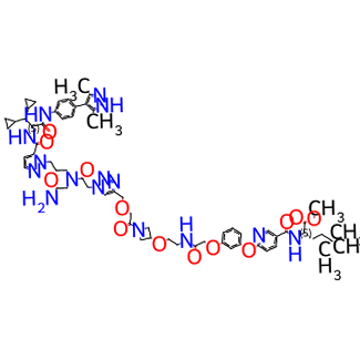 COC(=O)[C@H](CCC(C)(C)C)NC(=O)c1ccc(Oc2cccc(OCC(=O)NCCOC3CN(C(=O)COCc4cn(CC(=O)N(CCCn5nccc5C(=O)N[C@H](C(=O)Nc5ccc(-c6c(C)n[nH]c6C)cc5)C(C5CC5)C5CC5)CC(N)=O)nn4)C3)c2)nc1